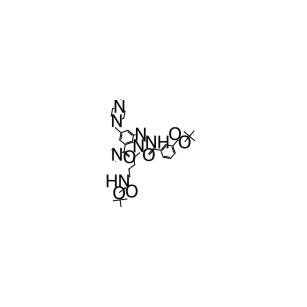 CN1CCN(Cc2cc(C(=O)N(C)C)c3c(c2)nc(NC(=O)c2cccc(C(=O)OC(C)(C)C)c2)n3CCCCCNC(=O)OC(C)(C)C)CC1